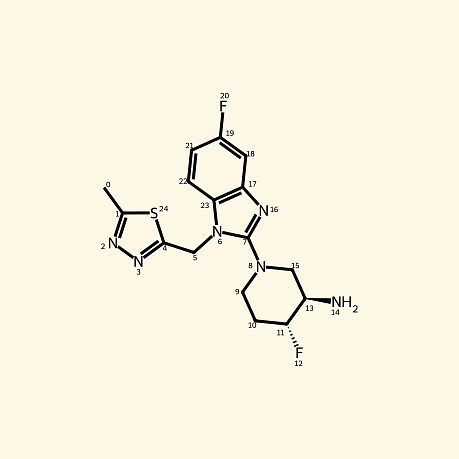 Cc1nnc(Cn2c(N3CC[C@@H](F)[C@H](N)C3)nc3cc(F)ccc32)s1